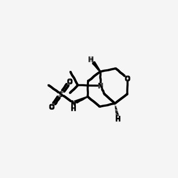 CC(C)N1C[C@H]2COC[C@H]1C[C@H](NS(C)(=O)=O)C2